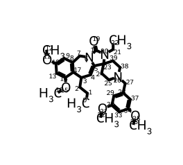 CCCC1C=C2N(Cc3cc(OC)cc(OC)c31)C(=O)N(CC)C21CCN(Cc2cc(OC)cc(OC)c2)CC1